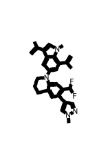 C=C(C)c1cn(C)c2c(C(=C)C)cc(N3CCCc4cc(-c5cnn(C)c5)c(C(F)F)cc43)cc12